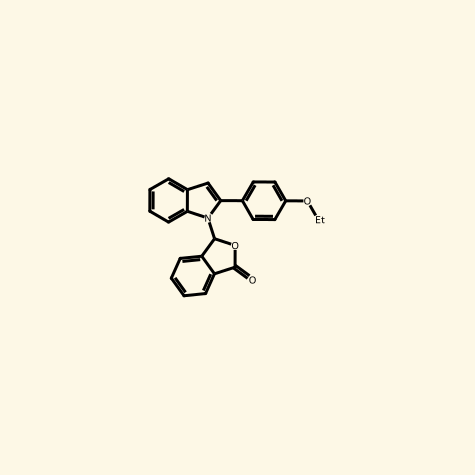 CCOc1ccc(-c2cc3ccccc3n2C2OC(=O)c3ccccc32)cc1